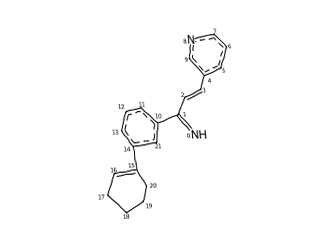 N=C(/C=C/c1cccnc1)c1cccc(C2=CCCCC2)c1